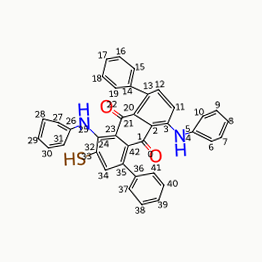 O=C1c2c(Nc3ccccc3)ccc(-c3ccccc3)c2C(=O)c2c(Nc3ccccc3)c(S)cc(-c3ccccc3)c21